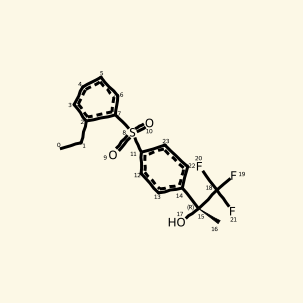 CCc1ccccc1S(=O)(=O)c1ccc([C@@](C)(O)C(F)(F)F)cc1